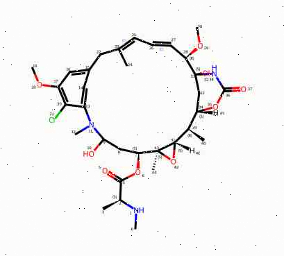 CN[C@@H](C)C(=O)O[C@H]1CC(O)N(C)c2cc(cc(OC)c2Cl)C/C(C)=C/C=C/[C@@H](OC)[C@@]2(O)C[C@H](OC(=O)N2)[C@@H](C)[C@@H]2O[C@@]12C